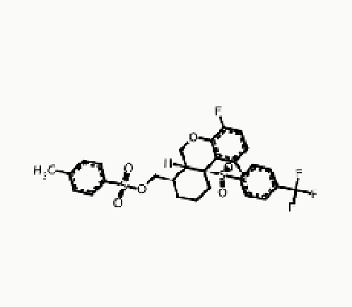 Cc1ccc(S(=O)(=O)OC[C@@H]2CCC[C@@]3(S(=O)(=O)c4ccc(C(F)(F)F)cc4)c4c(F)ccc(F)c4OC[C@@H]23)cc1